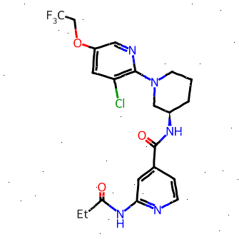 CCC(=O)Nc1cc(C(=O)N[C@@H]2CCCN(c3ncc(OCC(F)(F)F)cc3Cl)C2)ccn1